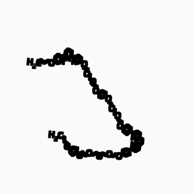 C=CCCOc1ccc(OCCOCCOCCOCCOc2ccc(-c3ccc4ccc5ccc(-c6ccc(OCCOCCOCCOc7ccc(OCCOCCOCCOc8ccc(-c9cccc(-c%10ccc(OCCC=C)cn%10)n9)nc8)cc7)cc6)nc5c4n3)cc2)cc1